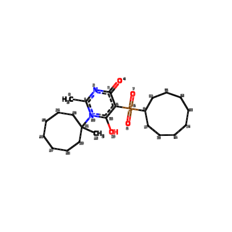 Cc1nc(=O)c(S(=O)(=O)C2CCCCCCCC2)c(O)n1C1(C)CCCCCCC1